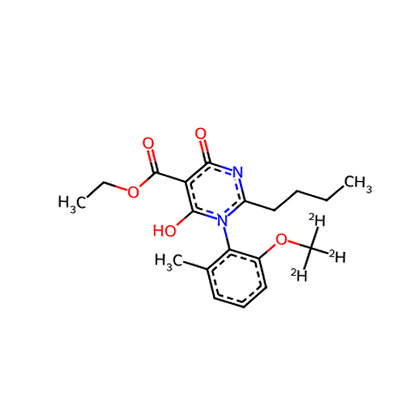 [2H]C([2H])([2H])Oc1cccc(C)c1-n1c(CCCC)nc(=O)c(C(=O)OCC)c1O